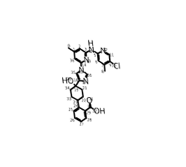 Cc1cc(Nc2cc(C)c(Cl)cn2)nc(-n2cnc(C3(O)CCC(c4ccccc4C(=O)O)CC3)c2)c1